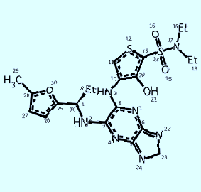 CC[C@@H](Nc1nc2c(nc1Nc1csc(S(=O)(=O)N(CC)CC)c1O)=NCN=2)c1ccc(C)o1